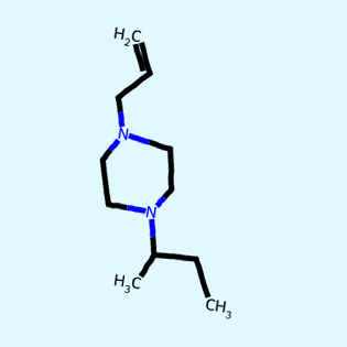 C=CCN1CCN(C(C)CC)CC1